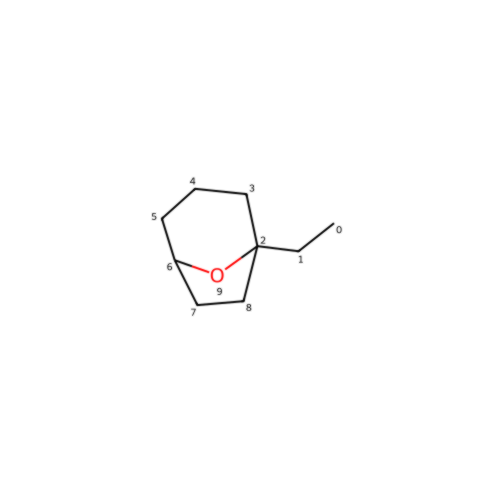 CCC12CCCC(CC1)O2